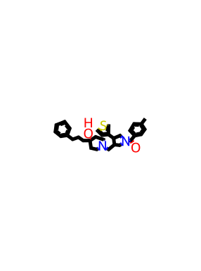 Cc1ccc(C(=O)N2CC(CN3CCC(O)(CCCc4ccccc4)CC3)C(c3ccsc3)C2)cc1